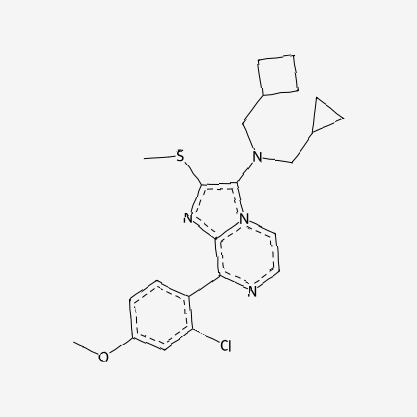 COc1ccc(-c2nccn3c(N(CC4CCC4)CC4CC4)c(SC)nc23)c(Cl)c1